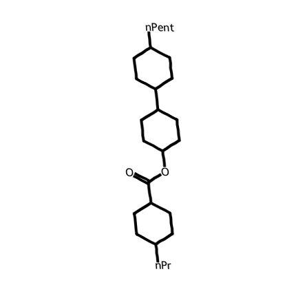 CCCCCC1CCC(C2CCC(OC(=O)C3CCC(CCC)CC3)CC2)CC1